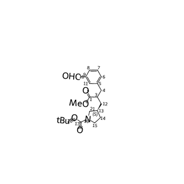 COC(=O)C(Cc1cccc(C=O)c1)C[C@H]1CCN(C(=O)OC(C)(C)C)C1